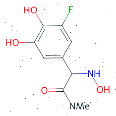 CNC(=O)C(NO)c1cc(O)c(O)c(F)c1